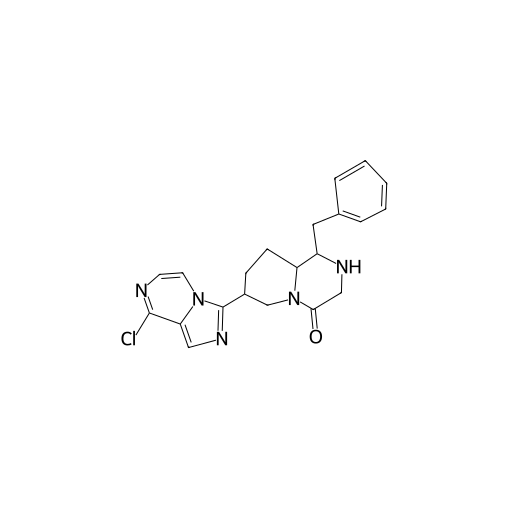 O=C1CNC(Cc2ccccc2)C2CCC(c3ncc4c(Cl)nccn34)CN12